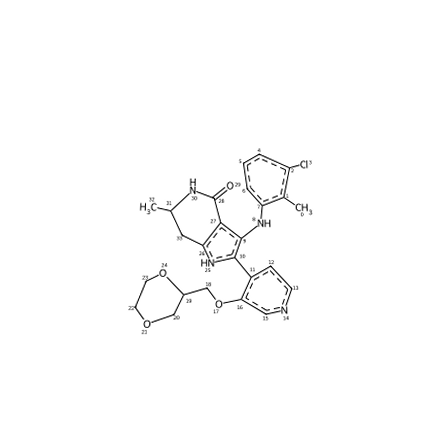 Cc1c(Cl)cccc1Nc1c(-c2ccncc2OCC2COCCO2)[nH]c2c1C(=O)NC(C)C2